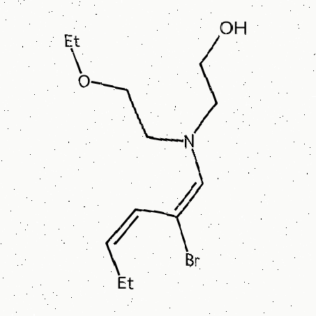 CC/C=C\C(Br)=C/N(CCO)CCOCC